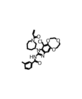 C=CC(=O)N1CCCC[C@@H](n2c(NC(=O)c3cccc(C)c3)nc3cc4c(c(Cl)c32)OCCOCCO4)C1